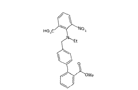 CCN(Cc1ccc(-c2ccccc2C(=O)OC)cc1)c1c(C(=O)O)cccc1[N+](=O)[O-]